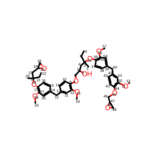 CCC(C)(CC(O)COc1ccc(Cc2ccc(OC(C)(CC)CC3CO3)c(OC)c2)cc1OC)Oc1ccc(Cc2ccc(OCC3CO3)c(OC)c2)cc1OC